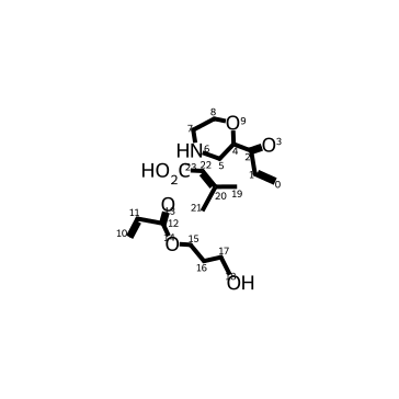 C=CC(=O)C1CNCCO1.C=CC(=O)OCCCO.CC(C)=CC(=O)O